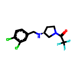 O=C(N1CC[C@@H](NCc2ccc(Cl)c(Cl)c2)C1)C(F)(F)F